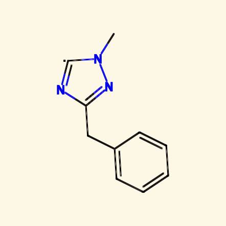 Cn1[c]nc(Cc2ccccc2)n1